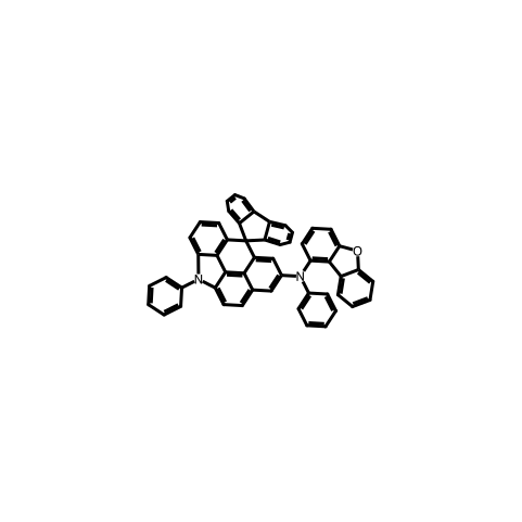 c1ccc(N(c2cc3c4c(ccc5c4c4c(cccc4n5-c4ccccc4)C34c3ccccc3-c3ccccc34)c2)c2cccc3oc4ccccc4c23)cc1